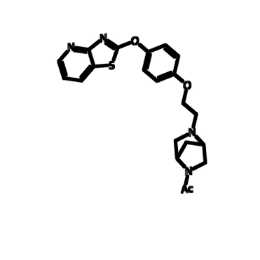 CC(=O)N1CC2CC1CN2CCOc1ccc(Oc2nc3ncccc3s2)cc1